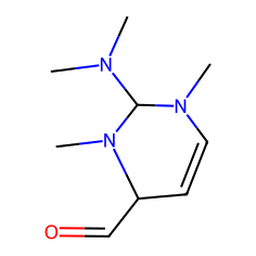 CN(C)C1N(C)C=CC(C=O)N1C